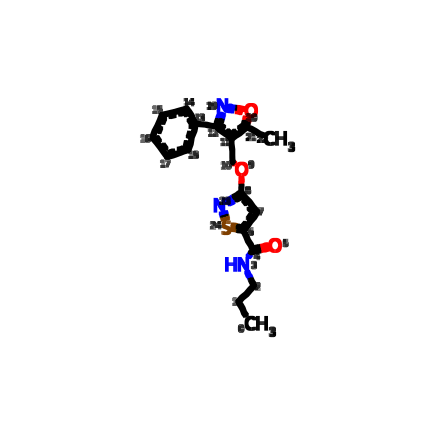 CCCNC(=O)c1cc(OCc2c(-c3ccccc3)noc2C)ns1